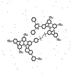 CC(C)(C)c1cccc(-c2ccc3c(ccc4c3c3cc(-c5ccc(C(C)(C)CCC(C)(C)c6cc7c8c(c6)c6cc(C(C)(C)C)ccc6n8-c6cc(C(C)(C)C)cc8c6B7n6c7ccc(-c9nc(-c%10ccccc%10)cc(-c%10ccccc%10)n9)cc7c7cc(C(C)(C)C)cc-8c76)cc5)cc5c3n4B3c4c-5cc(C(C)(C)C)cc4-n4c5ccc(C(C)(C)C)cc5c5cc(C(C)(C)C)cc3c54)c2)c1